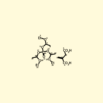 C=C(CC(=O)O)C(=O)O.CCOC(C)OP(=O)(OC(C)OCC)OC(C)OCC